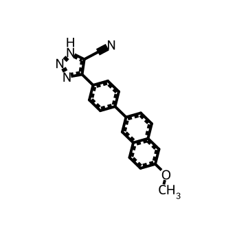 COc1ccc2cc(-c3ccc(-c4nn[nH]c4C#N)cc3)ccc2c1